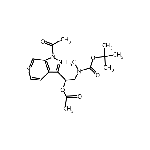 CC(=O)OC(CN(C)C(=O)OC(C)(C)C)c1nn(C(C)=O)c2cnccc12